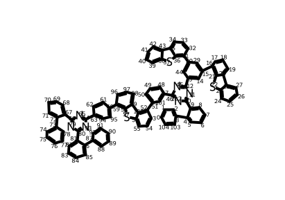 c1ccc(-c2ccccc2-c2nc(-c3cc(-c4cccc5c4sc4ccccc45)cc(-c4cccc5c4sc4ccccc45)c3)nc(-c3cccc(-c4cccc5sc6c(-c7ccc(-c8nc(-c9ccccc9-c9ccccc9)nc(-c9ccccc9-c9ccccc9)n8)cc7)cccc6c45)c3)n2)cc1